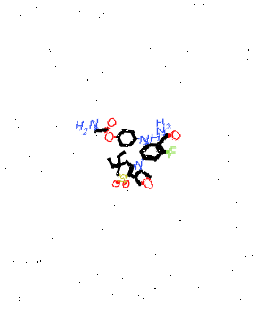 CCC1(CC)Cc2c(c3c(n2-c2cc(F)c(C(N)=O)c(N[C@H]4CC[C@H](OC(=O)CN)CC4)c2)COC3)S(=O)(=O)C1